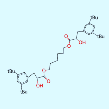 CC(C)(C)c1cc(CC(O)C(=O)OCCCCCCOC(=O)C(O)Cc2cc(C(C)(C)C)cc(C(C)(C)C)c2)cc(C(C)(C)C)c1